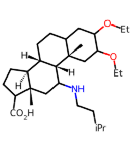 CCOC1CC2CC[C@@H]3[C@@H](C(NCCC(C)C)C[C@]4(C)C(C(=O)O)CC[C@@H]34)[C@@]2(C)CC1OCC